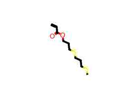 C=CC(=O)OCCCSCCCSC